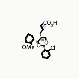 COc1ccccc1[C@H]1O[C@@H](c2ccccc2Cl)OC[C@H]1C/C=C/C(=O)O